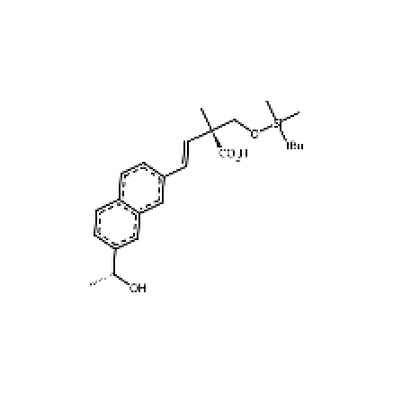 C[C@@H](O)c1ccc2ccc(/C=C/[C@](C)(CO[Si](C)(C)C(C)(C)C)C(=O)O)cc2c1